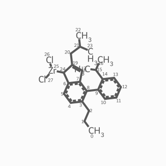 CCCc1ccc2c(c1-c1ccccc1C(C)C)C=C(CC(C)C)[CH]2[Zr]([Cl])[Cl]